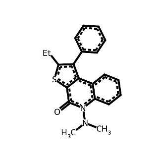 CCc1sc2c(=O)n(N(C)C)c3ccccc3c2c1-c1ccccc1